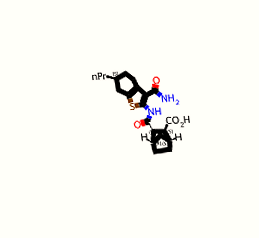 CCC[C@H]1CCc2c(sc(NC(=O)[C@H]3[C@@H]4CC[C@@H](C4)[C@@H]3C(=O)O)c2C(N)=O)C1